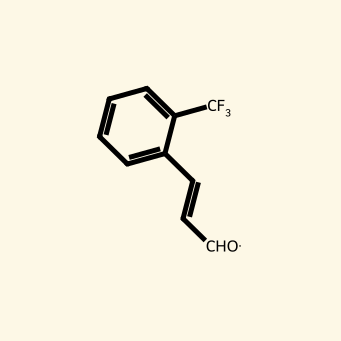 O=[C]/C=C/c1ccccc1C(F)(F)F